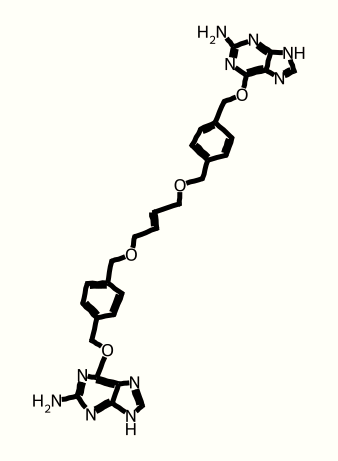 Nc1nc(OCc2ccc(COC/C=C/COCc3ccc(COc4nc(N)nc5[nH]cnc45)cc3)cc2)c2nc[nH]c2n1